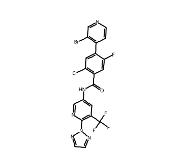 O=C(Nc1cnc(-n2nccn2)c(C(F)(F)F)c1)c1cc(F)c(-c2ccncc2Br)cc1Cl